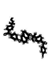 CCCC(C)(C)c1ccc(C(=O)c2ccc(Oc3ccc4cc(OC(C)(CC)c5ccc(C(=O)c6ccc(C)cc6)cc5)ccc4c3)cc2)cc1